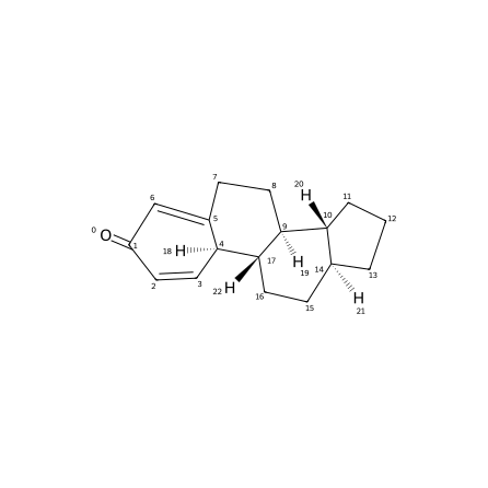 O=C1C=C[C@H]2C(=C1)CC[C@H]1[C@@H]3CCC[C@H]3CC[C@@H]12